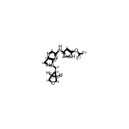 FC(F)Oc1cc(Nc2cnc3cnn(C[C@H]4[C@@H]5COC[C@@H]54)c3n2)n[nH]1